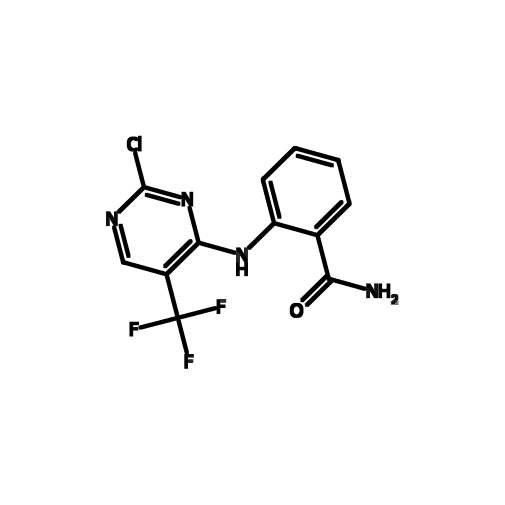 NC(=O)c1ccccc1Nc1nc(Cl)ncc1C(F)(F)F